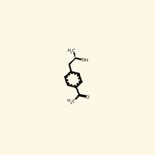 CC(=O)c1ccc(C[C@@H](C)O)cc1